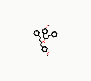 COc1ccc(CC(CCc2ccccc2)OC(CCc2ccccc2)Cc2ccc(OC)cc2)cc1